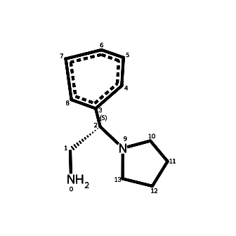 NC[C@H](c1ccccc1)N1CCCC1